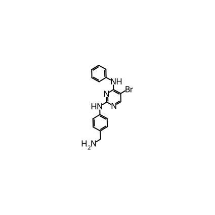 NCc1ccc(Nc2ncc(Br)c(Nc3ccccc3)n2)cc1